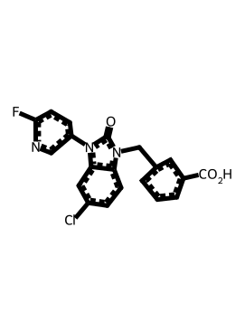 O=C(O)c1cccc(Cn2c(=O)n(-c3ccc(F)nc3)c3cc(Cl)ccc32)c1